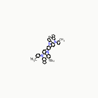 Cc1cccc(N(c2ccc3c(c2)CCC3)c2ccc3c4cc5c(cc4n4c6ccc(C(C)(C)C)cc6c2c34)c2ccc(N(c3cccc(C)c3)c3ccc4c(c3)CCC4)c3c4cc(C(C)(C)C)ccc4n5c23)c1